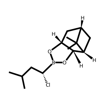 CC(C)C[C@@H](Cl)B1O[C@H]2[C@H]3C[C@@H](C[C@H]2O1)C3(C)C